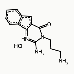 Cl.N=C(N)N(CCCN)C(=O)c1cc2ccccc2[nH]1